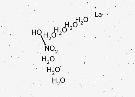 O.O.O.O.O.O.O.O=[N+]([O-])O.[La]